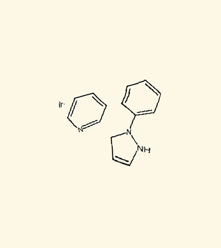 C1=CNN(c2ccccc2)C1.[Ir].c1ccncc1